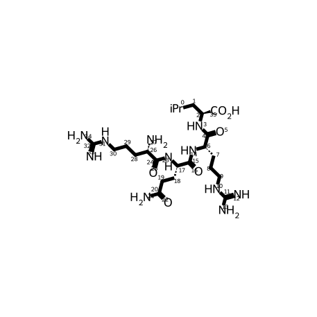 CC(C)C[C@H](NC(=O)[C@H](CCCNC(=N)N)NC(=O)[C@H](CCC(N)=O)NC(=O)[C@@H](N)CCCNC(=N)N)C(=O)O